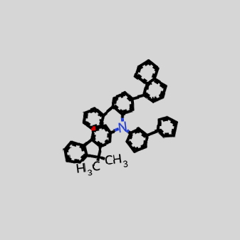 CC1(C)c2ccccc2-c2ccc(N(c3cccc(-c4ccccc4)c3)c3cc(-c4cccc5ccccc45)ccc3-c3ccccc3)cc21